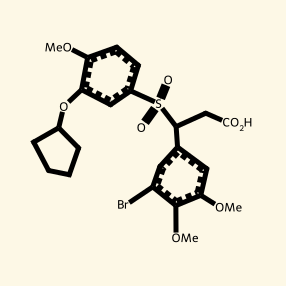 COc1ccc(S(=O)(=O)C(CC(=O)O)c2cc(Br)c(OC)c(OC)c2)cc1OC1CCCC1